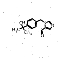 CC(C)(C)c1ccc(Cn2cncc2C=O)cc1